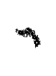 O=C(Nc1ccc(Oc2ccc(F)cc2)nc1)N1CCOC(COc2cc(F)ccc2Cl)C1